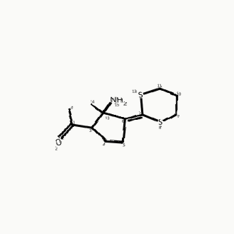 CC(=O)C1CCC(=C2SCCCS2)C1(C)N